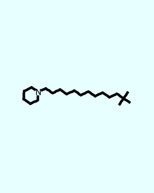 CC(C)(C)CCCCCCCCCCCN1CCCCC1